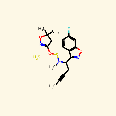 CC#CCC(c1noc2cc(F)ccc12)N(C)SOC1=NOC(C)(C)C1.S